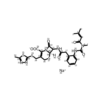 CC(C)=CC(=O)N(C)C(=O)Nc1ccccc1CC(=O)NC1C(=O)N2C(C(=O)[O-])=C(CSc3nnc(C)s3)CS[C@H]12.[Na+]